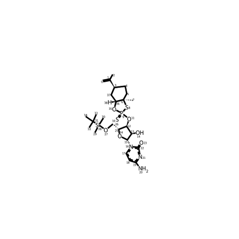 C=C(C)[C@H]1CC[C@@]2(C)SP(=S)(O[C@H]3[C@@H](O)[C@H](n4ccc(N)nc4=O)O[C@@H]3CO[Si](C)(C)C(C)(C)C)O[C@@H]2C1